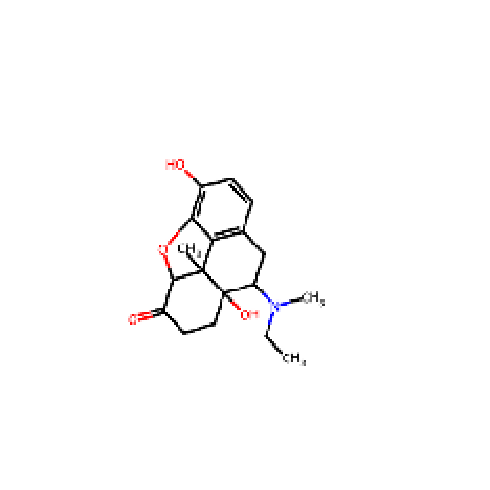 CCN(C)C1Cc2ccc(O)c3c2C2(C)C(O3)C(=O)CCC12O